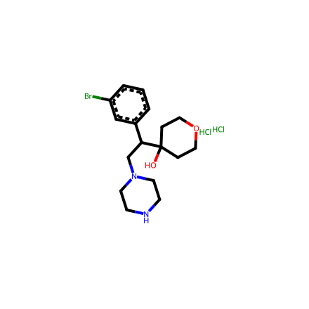 Cl.Cl.OC1(C(CN2CCNCC2)c2cccc(Br)c2)CCOCC1